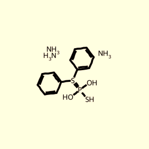 N.N.N.OP(O)(S)=S(c1ccccc1)c1ccccc1